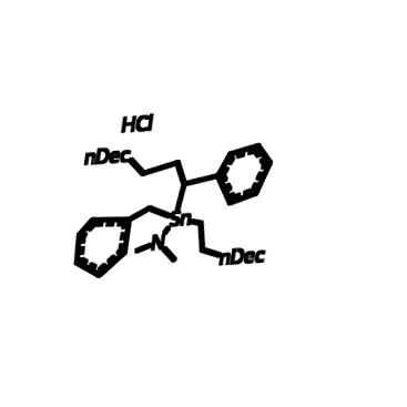 CCCCCCCCCCCC[CH](c1ccccc1)[Sn]([CH2]CCCCCCCCCCC)([CH2]c1ccccc1)[N](C)C.Cl